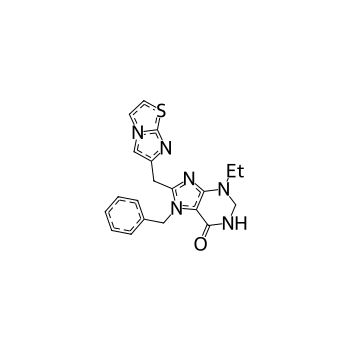 CCN1CNC(=O)c2c1nc(Cc1cn3ccsc3n1)n2Cc1ccccc1